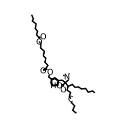 CCCCCCCCC(CCCCCCCC)C(Cc1cccc(COC(=O)CCCCCCCOC(=O)CCCCCCC)c1)(CN(C)C)C(=O)O